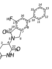 O=C1CCC(N2Cc3cc(-c4ccccc4)cc(F)c3C2=O)C(=O)N1